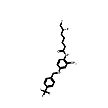 Nc1cc(NCc2ccc(C(F)(F)F)cc2)ccc1NC(=O)CCCC[C@@H](F)CF